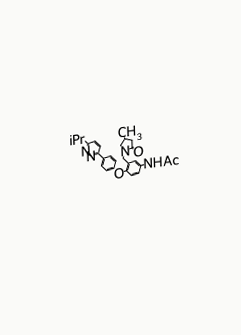 CC(=O)Nc1ccc(Oc2ccc(-c3ccc(C(C)C)nn3)cc2)c(CN2CC(C)CC2=O)c1